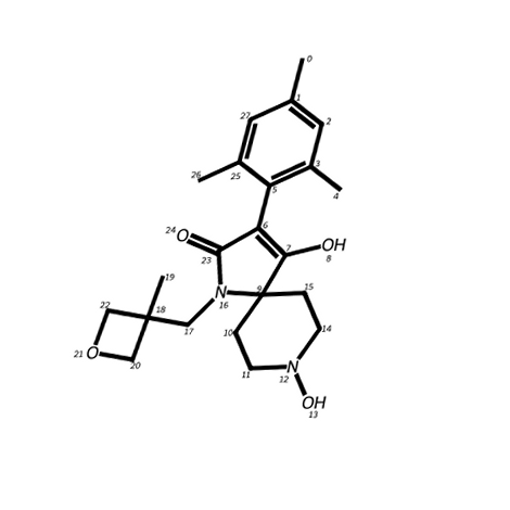 Cc1cc(C)c(C2=C(O)C3(CCN(O)CC3)N(CC3(C)COC3)C2=O)c(C)c1